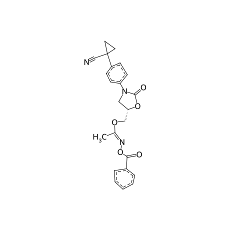 C/C(=N\OC(=O)c1ccccc1)OC[C@@H]1CN(c2ccc(C3(C#N)CC3)cc2)C(=O)O1